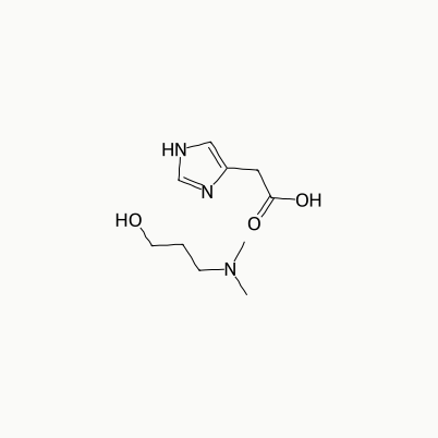 CN(C)CCCO.O=C(O)Cc1c[nH]cn1